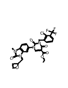 CCOC(=O)c1cn(-c2ccc3c(c2)n(CC2CCO2)c(=O)n3C)c(=O)n(Cc2cccc(C(F)(F)F)c2Cl)c1=O